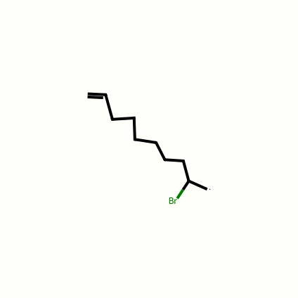 [CH2]C(Br)CCCCCCC=C